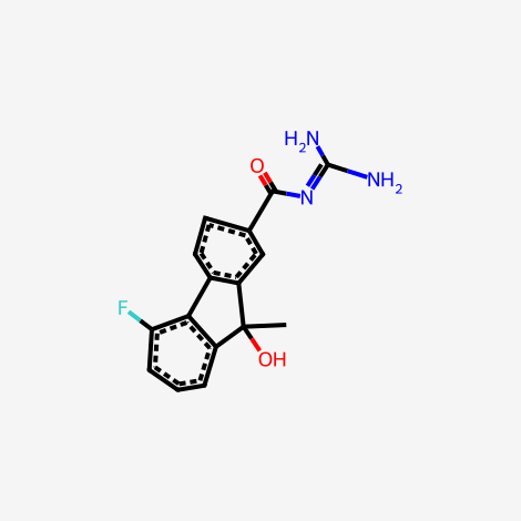 CC1(O)c2cc(C(=O)N=C(N)N)ccc2-c2c(F)cccc21